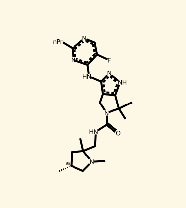 CCCc1ncc(F)c(Nc2n[nH]c3c2CN(C(=O)NCC2(C)C[C@@H](C)CN2C)C3(C)C)n1